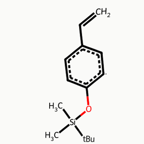 C=Cc1c[c]c(O[Si](C)(C)C(C)(C)C)cc1